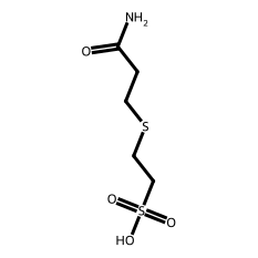 NC(=O)CCSCCS(=O)(=O)O